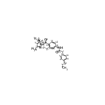 CCSc1ccc(CC(=O)Nc2ccc3c(n2)CCC(C)(n2nc(C)cc2C)C3=O)cc1